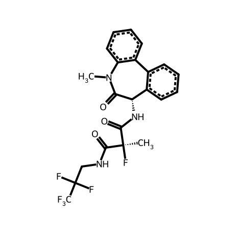 CN1C(=O)[C@@H](NC(=O)[C@@](C)(F)C(=O)NCC(F)(F)C(F)(F)F)c2ccccc2-c2ccccc21